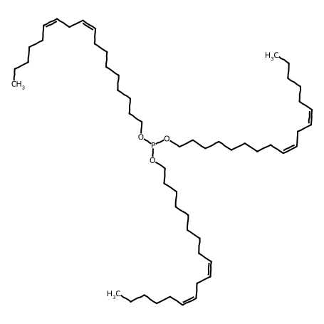 CCCCC/C=C\C/C=C\CCCCCCCCOP(OCCCCCCCC/C=C\C/C=C\CCCCC)OCCCCCCCC/C=C\C/C=C\CCCCC